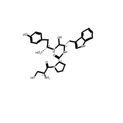 N[C@@H](CO)C(=O)N1CCC[C@H]1C(=O)N[C@@H](Cc1c[nH]c2ccccc12)C(O)N[C@@H](Cc1ccc(O)cc1)C(=O)O